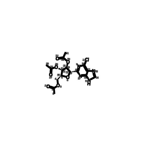 CC(=O)OC[C@H]1O[C@@H](c2nc(Cl)c3nc[nH]c3n2)[C@H](OC(C)=O)[C@H]1OC(C)=O